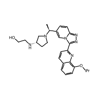 CC(C)Oc1cccc2ccc(-c3nnc4ccc([C@H](C)N5CC[C@H](NCCO)C5)cn34)nc12